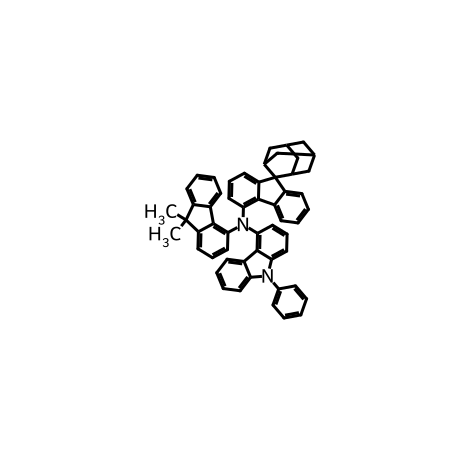 CC1(C)c2ccccc2-c2c(N(c3cccc4c3-c3ccccc3C43C4CC5CC(C4)CC3C5)c3cccc4c3c3ccccc3n4-c3ccccc3)cccc21